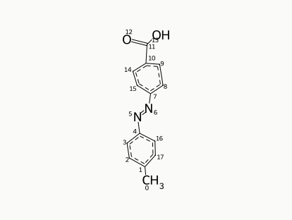 Cc1ccc(N=Nc2ccc(C(=O)O)cc2)cc1